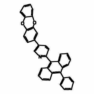 c1ccc(-c2c3ccccc3c(-c3ccc(-c4ccc5c(c4)Oc4ccccc4O5)cn3)c3ccccc23)cc1